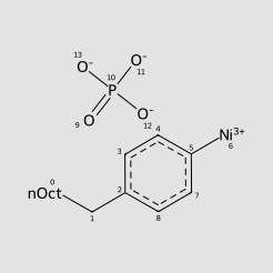 CCCCCCCCCc1cc[c]([Ni+3])cc1.O=P([O-])([O-])[O-]